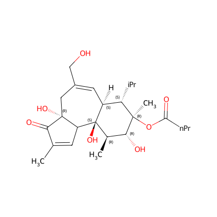 CCCC(=O)O[C@@]1(C)[C@H](O)[C@@H](C)[C@]2(O)C3C=C(C)C(=O)[C@@]3(O)CC(CO)=C[C@H]2[C@@H]1C(C)C